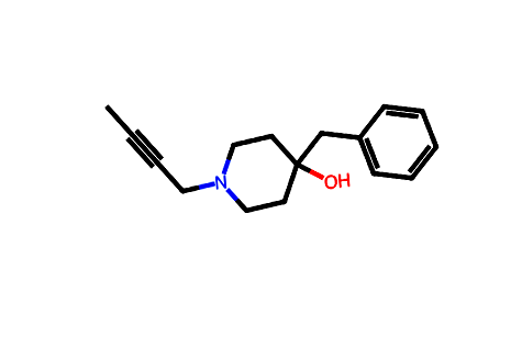 CC#CCN1CCC(O)(Cc2ccccc2)CC1